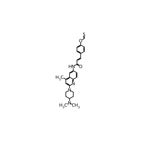 Cc1cc(N2CCC(N(C)C)CC2)nc2ccc(NC(=O)C=Cc3ccc(OC=S)cc3)cc12